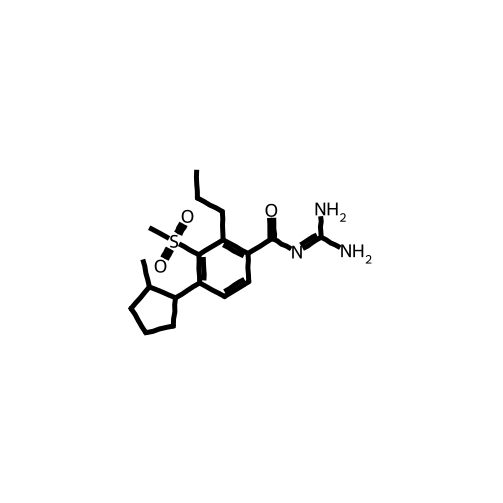 CCCc1c(C(=O)N=C(N)N)ccc(C2CCCC2C)c1S(C)(=O)=O